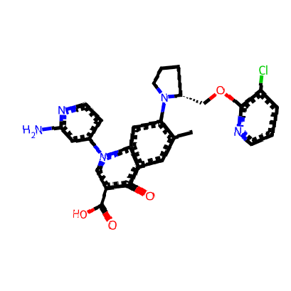 Cc1cc2c(=O)c(C(=O)O)cn(-c3ccnc(N)c3)c2cc1N1CCC[C@@H]1COc1ncccc1Cl